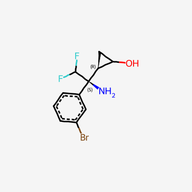 N[C@@](c1cccc(Br)c1)(C(F)F)[C@H]1CC1O